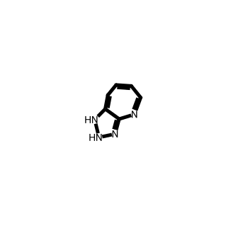 C1=CC=C2NNN=C2N=C1